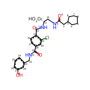 O=C(CC1CCCCC1)NC[C@H](NC(=O)c1ccc(C(=O)NCc2cccc(O)c2)cc1Cl)C(=O)O